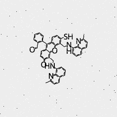 Cc1ccc2cccc(NCc3c4oc5c(CNc6cccc7ccc(C)nc67)c(S)ccc5c(-c5ccccc5C=O)c-4ccc3=O)c2n1